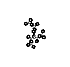 c1ccc(N(c2ccc3cc(-c4cc(N(c5ccccc5)c5ccc6c(c5)c5ccccc5n6-c5ccccc5)nc(N(c5ccccc5)c5ccc6c(c5)c5ccccc5n6-c5ccccc5)n4)ccc3c2)c2ccc3c(c2)c2ccccc2n3-c2ccccc2)cc1